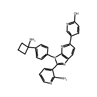 Nc1ncccc1-c1nc2ccc(-c3ccc(O)nc3)nc2n1-c1ccc(C2(N)CCC2)cc1